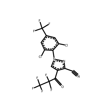 N#Cc1nn(-c2c(Cl)cc(C(F)(F)F)cc2Cl)cc1C(=O)C(F)(F)C(F)(F)F